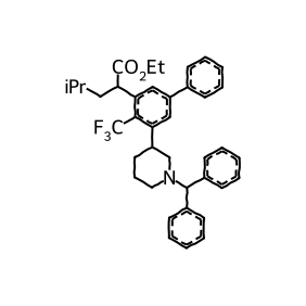 CCOC(=O)C(CC(C)C)c1cc(-c2ccccc2)cc(C2CCCN(C(c3ccccc3)c3ccccc3)C2)c1C(F)(F)F